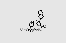 COC(=O)c1ccnc(-c2cc(C(=O)OC)cc(-c3ccc4ccccc4n3)n2)c1